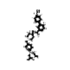 CC1CN(c2ccc(CN3CCC(NC(=O)c4ccc(Cl)c(-c5ccc(OC(F)(F)F)cc5)c4)CC3)cn2)CC(C)O1